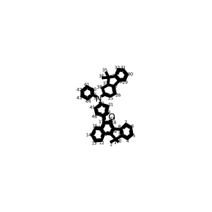 CC1(C)c2ccccc2-c2c1c1ccccc1c1c2oc2cc(N(C3=CC=C4c5ccccc5C(C)(C)C4C3)c3ccccc3)ccc21